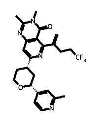 C=C(CCC(F)(F)F)c1nc([C@H]2CCO[C@@H](c3ccnc(C)c3)C2)cc2nc(C)n(C)c(=O)c12